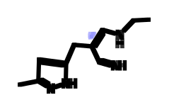 CCN/C=C(\C=N)Cc1cc(C)n[nH]1